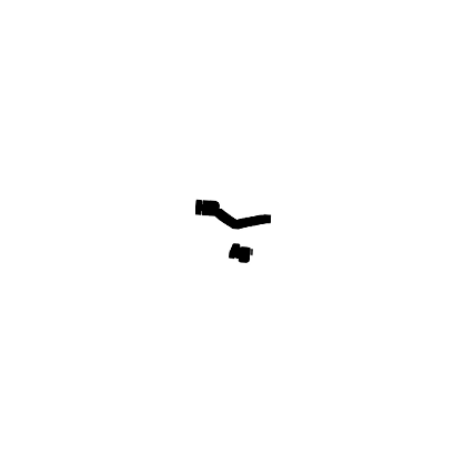 CCO.[Ag]